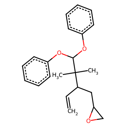 C=CC(CC1CO1)C(C)(C)C(Oc1ccccc1)Oc1ccccc1